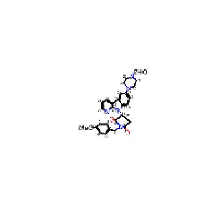 COc1ccc(CN2C(=O)CCC(n3c4ccc(N5CCN(C=O)CC5)cc4c4cccnc43)C2=O)cc1